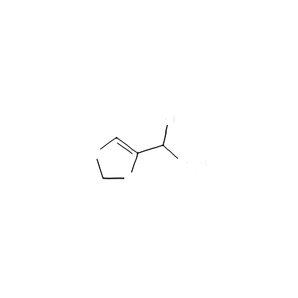 O=C(O)C(O)C1=COCO1